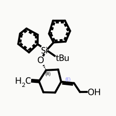 C=C1CC/C(=C\CO)C[C@H]1O[Si](c1ccccc1)(c1ccccc1)C(C)(C)C